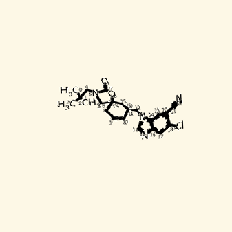 CC(C)(C)CN1C[C@@]2(CCC[C@H](Cn3cnc4cc(Cl)c(C#N)cc43)C2)OC1=O